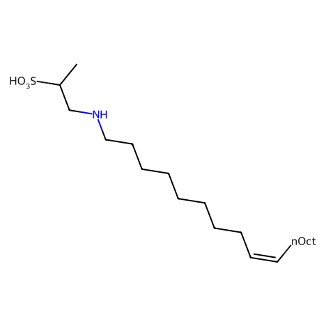 CCCCCCCC/C=C\CCCCCCCCNCC(C)S(=O)(=O)O